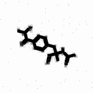 CC(=O)NC(C)(C=O)Cc1ccc(C(=O)C(C)Br)cc1